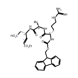 CCOC(=O)/C=C/[C@H](CC(=O)O)NC(=O)[C@H](NC(=O)[C@H](CCCNC(=N)N)NC(=O)OCC1c2ccccc2-c2ccccc21)C(C)CC